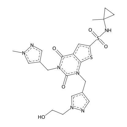 Cn1cc(Cn2c(=O)c3cc(S(=O)(=O)NC4(C)CC4)sc3n(Cc3cnn(CCO)c3)c2=O)cn1